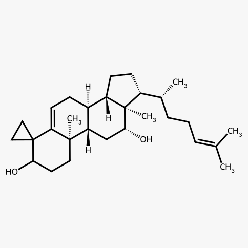 CC(C)=CCC[C@@H](C)[C@H]1CC[C@H]2[C@@H]3CC=C4C5(CC5)C(O)CC[C@]4(C)[C@H]3C[C@@H](O)[C@]12C